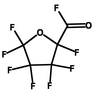 O=C(F)C1(F)OC(F)(F)C(F)(F)C1(F)F